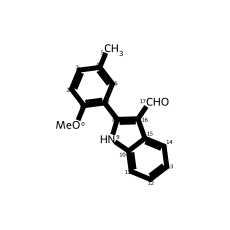 COc1ccc(C)cc1-c1[nH]c2ccccc2c1C=O